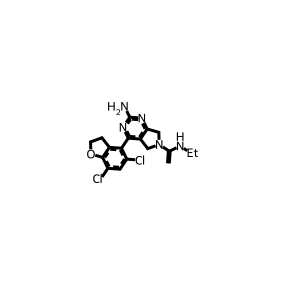 C=C(NCC)N1Cc2nc(N)nc(-c3c(Cl)cc(Cl)c4c3CCO4)c2C1